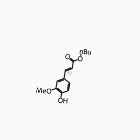 CCCCOC(=O)/C=C/c1ccc(O)c(OC)c1